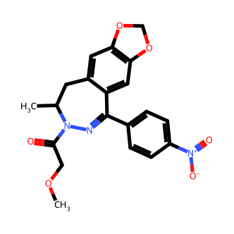 COCC(=O)N1N=C(c2ccc([N+](=O)[O-])cc2)c2cc3c(cc2CC1C)OCO3